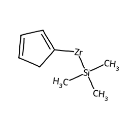 C[Si](C)(C)[Zr][C]1=CC=CC1